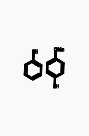 COc1ccc(S)cc1.Sc1ccccc1